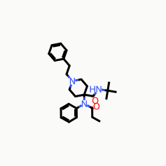 CCC(=O)N(c1ccccc1)C1(C(=O)NC(C)(C)C)CCN(CCc2ccccc2)CC1